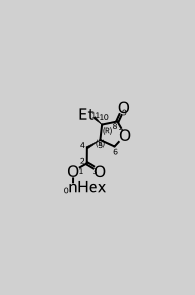 CCCCCCOC(=O)C[C@@H]1COC(=O)[C@@H]1CC